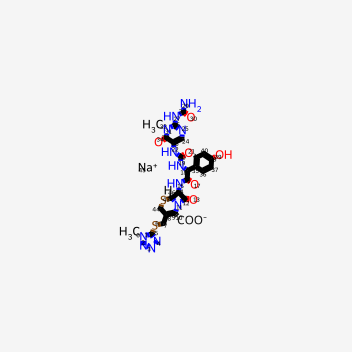 Cn1nnnc1SCC1=C(C(=O)[O-])N2C(=O)C(NC(=O)C(NC(=O)Nc3cnc(NC(N)=O)n(C)c3=O)c3ccc(O)cc3)[C@@H]2SC1.[Na+]